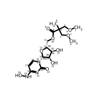 COCC(C)(COC)C(=O)OC[C@H]1O[C@@H](n2ccc(NO)nc2=O)[C@H](O)[C@@H]1O